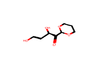 O=C(C(O)CCO)C1OCCCO1